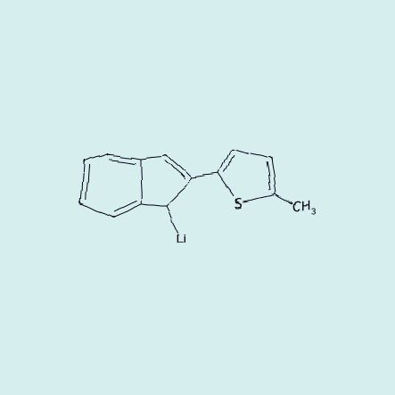 [Li][CH]1C(c2ccc(C)s2)=Cc2ccccc21